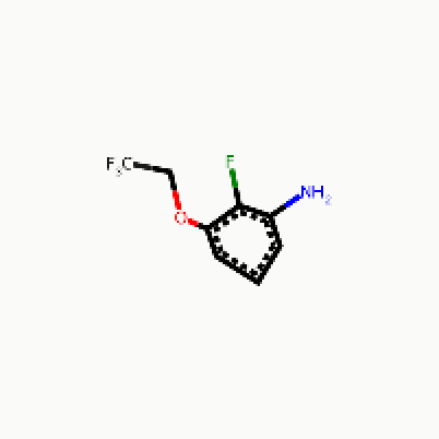 Nc1cccc(OCC(F)(F)F)c1F